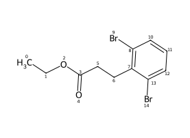 CCOC(=O)CCc1c(Br)cccc1Br